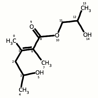 CC(CC(C)O)=C(C)C(=O)OCC(C)O